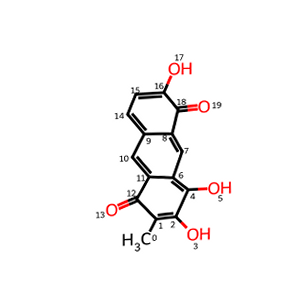 CC1=C(O)C(O)=c2cc3c(cc2C1=O)=CC=C(O)C3=O